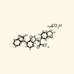 Cc1nc2ccccc2n1-c1cccc2c1OC[C@H]2N(C(=O)C(F)(F)F)c1ccc2c(c1)OC[C@H]2CC(=O)O